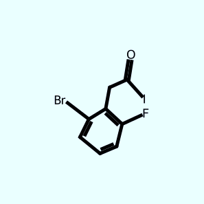 O=C(I)Cc1c(F)cccc1Br